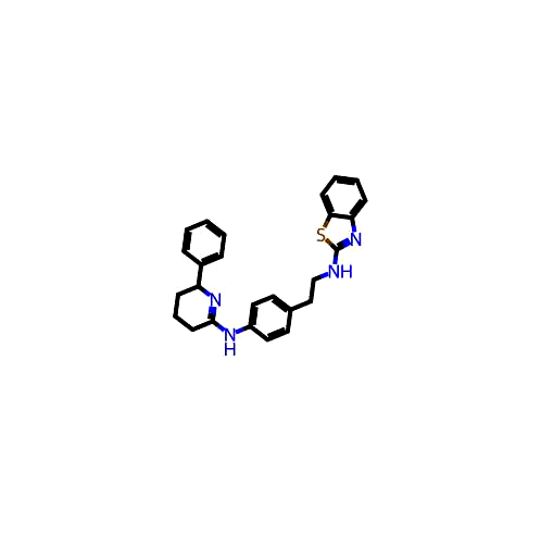 c1ccc(C2CCCC(Nc3ccc(CCNc4nc5ccccc5s4)cc3)=N2)cc1